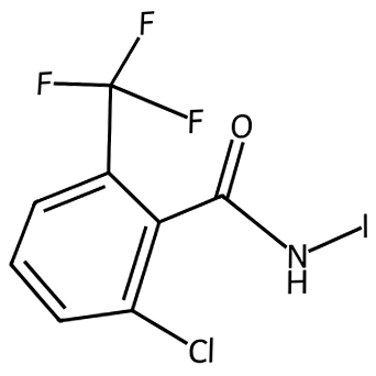 O=C(NI)c1c(Cl)cccc1C(F)(F)F